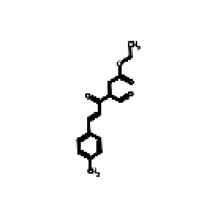 CCOC(=O)CC(C=O)C(=O)/C=C/c1ccc(C)cc1